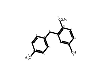 Cc1ccc(Cc2cc(O)ccc2C(=O)O)cc1